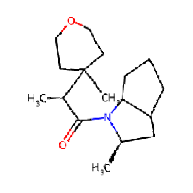 CC(C(=O)N1C2CCCC2C[C@H]1C)C1(C)CCOCC1